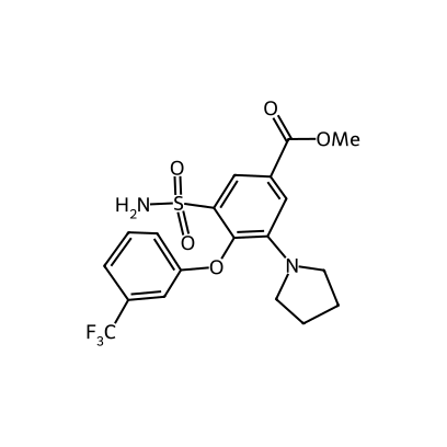 COC(=O)c1cc(N2CCCC2)c(Oc2cccc(C(F)(F)F)c2)c(S(N)(=O)=O)c1